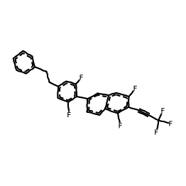 Fc1cc2cc(-c3c(F)cc(CCc4ccccc4)cc3F)ccc2c(F)c1C#CC(F)(F)F